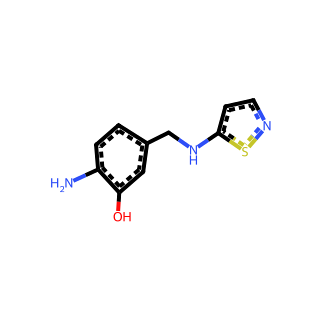 Nc1ccc(CNc2ccns2)cc1O